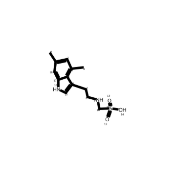 Cc1cc(C)c2c(CCNCS(=O)(=O)O)c[nH]c2c1